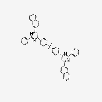 CC(C)(c1ccc(-c2cc(-c3ccc4ccccc4c3)nc(-c3ccccc3)n2)cc1)c1ccc(-c2cc(-c3ccc4ccccc4c3)nc(-c3ccccc3)n2)cc1